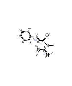 C/N=C(/N(C)C)N(C)C(=O)/C=C/c1ccccc1